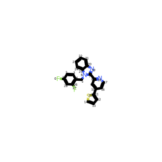 Fc1ccc(Cn2c(-c3cc(-c4cccs4)ccn3)nc3ccccc32)c(F)c1